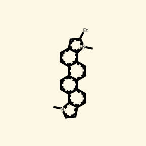 CCc1cc2ccc3c4ccc5c(ccc6ccn(C)c65)c4ccc3c2n1C